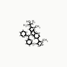 Cc1nnn(C)c1-c1cnc2c3c(cc(C(C)(C)O)n3C)n(C(c3ccccn3)c3ccccn3)c2c1